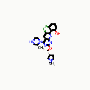 C[C@@H]1CNCCN1c1nc(OC[C@@H]2CCN(C)C2)nc2nc(-c3c(O)cccc3F)c(F)cc12